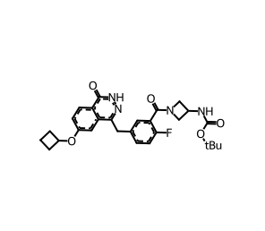 CC(C)(C)OC(=O)NC1CN(C(=O)c2cc(Cc3n[nH]c(=O)c4ccc(OC5CCC5)cc34)ccc2F)C1